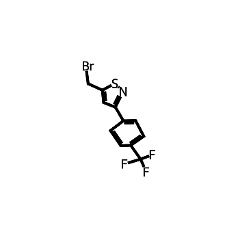 FC(F)(F)c1ccc(-c2cc(CBr)sn2)cc1